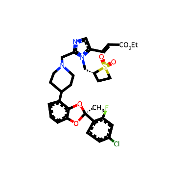 CCOC(=O)/C=C/c1cnc(CN2CCC(c3cccc4c3O[C@@](C)(c3ccc(Cl)cc3F)O4)CC2)n1C[C@H]1CCS1(=O)=O